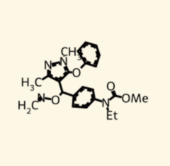 C=NOC(c1ccc(N(CC)C(=O)OC)cc1)c1c(C)nn(C)c1Oc1ccccc1